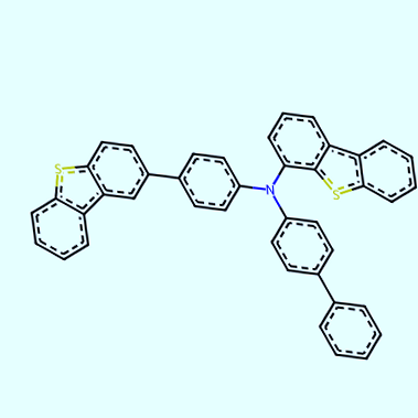 c1ccc(-c2ccc(N(c3ccc(-c4ccc5sc6ccccc6c5c4)cc3)c3cccc4c3sc3ccccc34)cc2)cc1